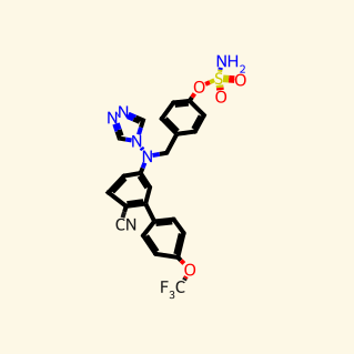 N#Cc1ccc(N(Cc2ccc(OS(N)(=O)=O)cc2)n2cnnc2)cc1-c1ccc(OC(F)(F)F)cc1